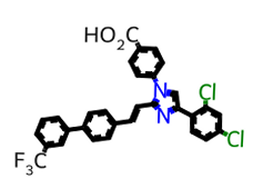 O=C(O)c1ccc(-n2cc(-c3ccc(Cl)cc3Cl)nc2C=Cc2ccc(-c3cccc(C(F)(F)F)c3)cc2)cc1